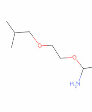 CC(C)COCCOC(C)N